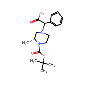 C[C@@H]1CN(C(C(=O)O)c2ccccc2)CCN1C(=O)OC(C)(C)C